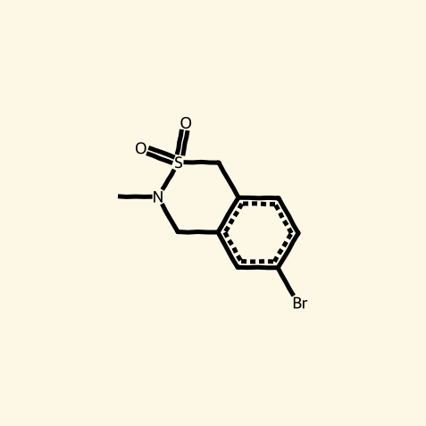 CN1Cc2cc(Br)ccc2CS1(=O)=O